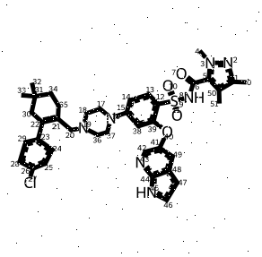 Cc1nn(C)c(C(=O)NS(=O)(=O)c2ccc(N3CCN(CC4=C(c5ccc(Cl)cc5)CC(C)(C)CC4)CC3)cc2Oc2cnc3[nH]ccc3c2)c1C